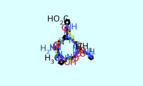 Cc1sc2nc1C(=O)N[C@@H]([C@H](O)c1ccccc1)c1nc(cs1)C(=O)NC(=O)N1C[C@H](OC(=O)NCCN3CCCC3)[C@H](C)[C@H]1c1nc(cs1)-c1nc(cs1)-c1nc(-c3nc(C(=O)N[C@H]4CC[C@H](C(=O)O)CC4)cs3)ccc1-c1nc(cs1)C(=O)N[C@H]2CC(N)=O